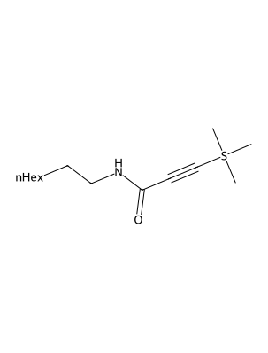 CCCCCCCCNC(=O)C#CS(C)(C)C